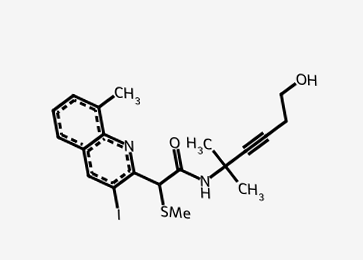 CSC(C(=O)NC(C)(C)C#CCCO)c1nc2c(C)cccc2cc1I